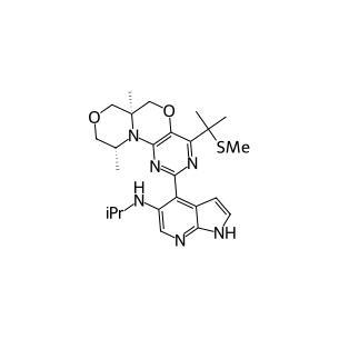 CSC(C)(C)c1nc(-c2c(NC(C)C)cnc3[nH]ccc23)nc2c1OC[C@]1(C)COC[C@@H](C)N21